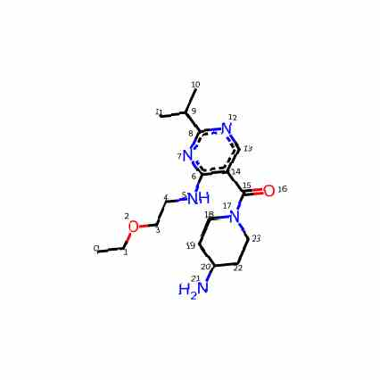 CCOCCNc1nc(C(C)C)ncc1C(=O)N1CCC(N)CC1